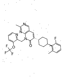 Cc1ncc2cc([C@H]3CC[C@H](c4c(C)cccc4F)CC3)c(=O)n(Cc3ncccc3OC(F)(F)F)c2n1